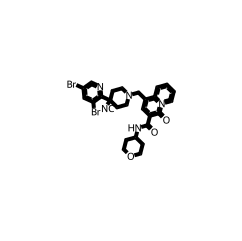 N#CC1(c2ncc(Br)cc2Br)CCN(Cc2cc(C(=O)NC3CCOCC3)c(=O)n3ccccc23)CC1